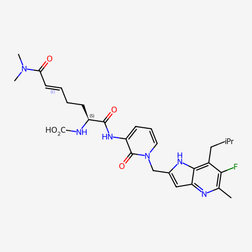 Cc1nc2cc(Cn3cccc(NC(=O)[C@H](CC/C=C/C(=O)N(C)C)NC(=O)O)c3=O)[nH]c2c(CC(C)C)c1F